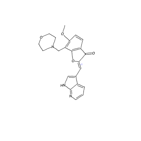 COc1ccc2c(c1CN1CCOCC1)O/C(=C\c1c[nH]c3ncccc13)C2=O